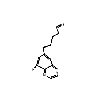 O=CCCCCc1cc(F)c2ncccc2c1